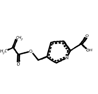 C=C(C)C(=O)OCc1ccc(C(=O)O)nc1